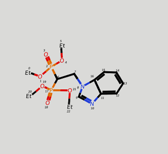 CCOP(=O)(OCC)C(Cn1cnc2ccccc21)P(=O)(OCC)OCC